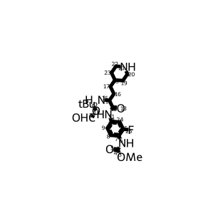 CC(C)(C)OC=O.COC(=O)Nc1ccc(NC(=O)C(N)CCC2CCNCC2)cc1F